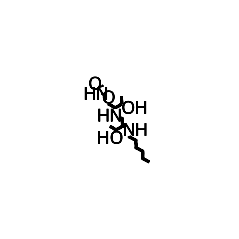 CCCCCCNC(CNC(CONC=O)C(C)O)C(C)O